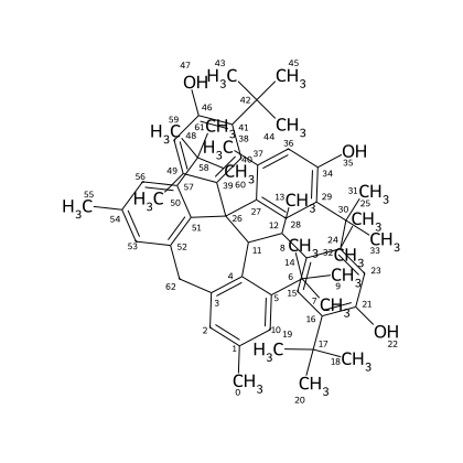 Cc1cc2c(c(C(C)(C)C)c1)C(C(C)c1cc(C(C)(C)C)c(O)cc1C)C(c1cc(C(C)(C)C)c(O)cc1C)(c1cc(C(C)(C)C)c(O)cc1C)c1c(cc(C)cc1C(C)(C)C)C2